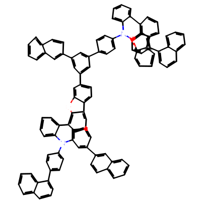 C1=CC2Oc3c(-c4ccccc4N(c4ccc(-c5cc(-c6ccc7ccccc7c6)cc(-c6ccc7c(c6)oc6c(-c8ccccc8N(c8ccc(-c9cccc%10ccccc9%10)cc8)c8cccc(-c9ccc%10ccccc%10c9)c8)cccc67)c5)cc4)c4ccc(-c5cccc6ccccc56)cc4)cccc3C2C=C1